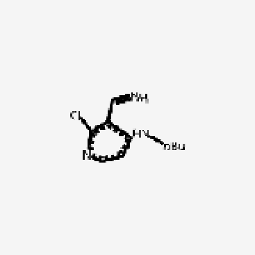 CCCCNc1ccnc(Cl)c1C=N